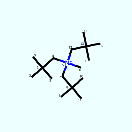 CC(C)(C)C[N+](C)(CC(C)(C)C)CC(C)(C)C